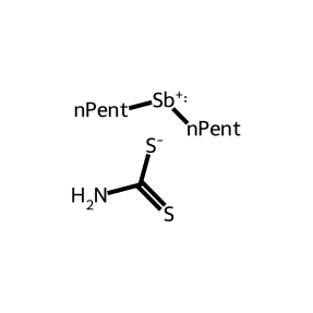 CCCC[CH2][Sb+][CH2]CCCC.NC(=S)[S-]